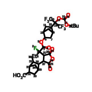 CCC(F)(C(=O)OC1CC2CC1CC2C(OC(=O)OC(C)(C)C)(C(F)(F)F)C(F)(F)F)C1C(=O)OC(=O)C1C1C2CC(C(=O)O)C(C2)C1C